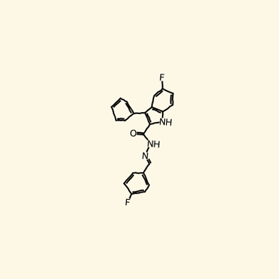 O=C(NN=Cc1ccc(F)cc1)c1[nH]c2ccc(F)cc2c1-c1ccccc1